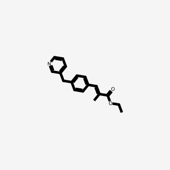 CCOC(=O)/C(C)=C/c1ccc(Cc2cccnc2)cc1